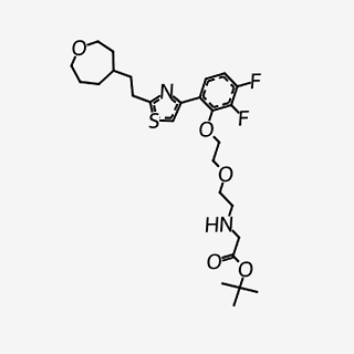 CC(C)(C)OC(=O)CNCCOCCOc1c(-c2csc(CCC3CCCOCC3)n2)ccc(F)c1F